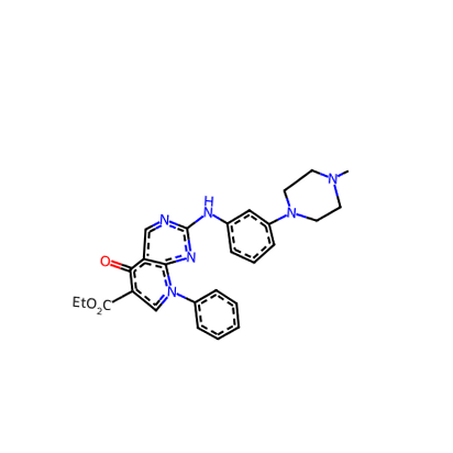 CCOC(=O)c1cn(-c2ccccc2)c2nc(Nc3cccc(N4CCN(C)CC4)c3)ncc2c1=O